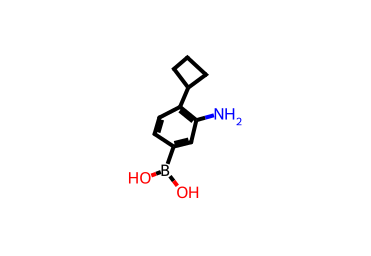 Nc1cc(B(O)O)ccc1C1CCC1